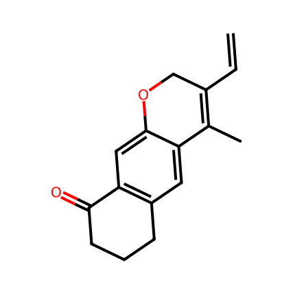 C=CC1=C(C)c2cc3c(cc2OC1)C(=O)CCC3